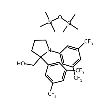 C[Si](C)(C)O[Si](C)(C)C.OCC1(c2cc(C(F)(F)F)cc(C(F)(F)F)c2)CCCN1c1cc(C(F)(F)F)cc(C(F)(F)F)c1